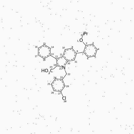 CC(C)Oc1ccccc1-c1ccc2c(-c3ccccc3)c(C(=O)O)n(Cc3cccc(Cl)c3)c2c1